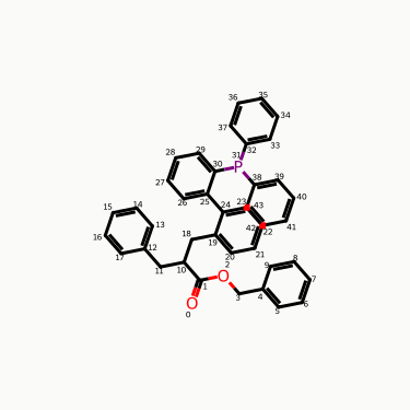 O=C(OCc1ccccc1)C(Cc1ccccc1)Cc1ccccc1-c1ccccc1P(c1ccccc1)c1ccccc1